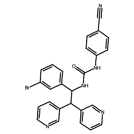 N#Cc1ccc(NC(=O)NC(c2cccc(Br)c2)C(c2cccnc2)c2cccnc2)cc1